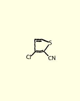 N#Cc1sccc1Cl